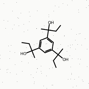 CCC(C)(O)c1cc(C(C)(O)CC)cc(C(C)(O)CC)c1